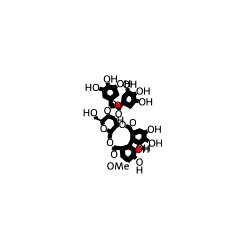 COc1cc2c(c(O)c1O)-c1c(cc(O)c(O)c1O)C(=O)O[C@@H]1C(COC2=O)O[C@@H](CO)C(OC(=O)c2cc(O)c(O)c(O)c2)C1OC(=O)c1cc(O)c(O)c(O)c1